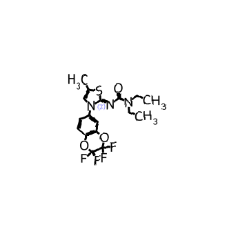 CCN(CC)C(=O)/N=c1\sc(C)cn1-c1ccc2c(c1)OC(F)(F)C(F)(F)O2